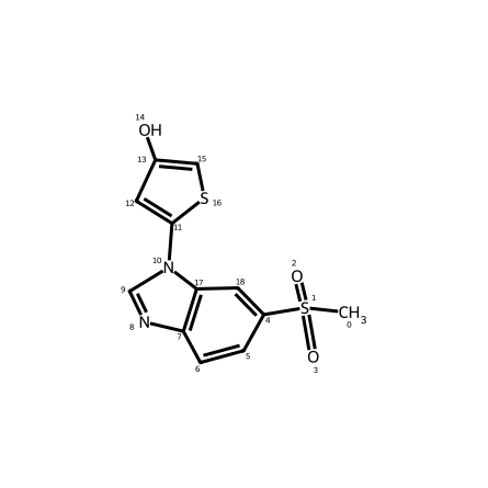 CS(=O)(=O)c1ccc2ncn(-c3cc(O)cs3)c2c1